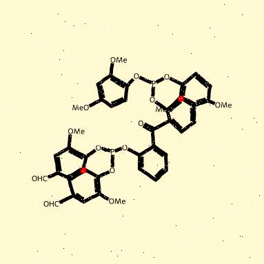 COc1ccc(OP(Oc2ccc(OC)cc2OC)Oc2ccccc2C(=O)c2ccccc2OP(Oc2ccc(C=O)cc2OC)Oc2ccc(C=O)cc2OC)c(OC)c1